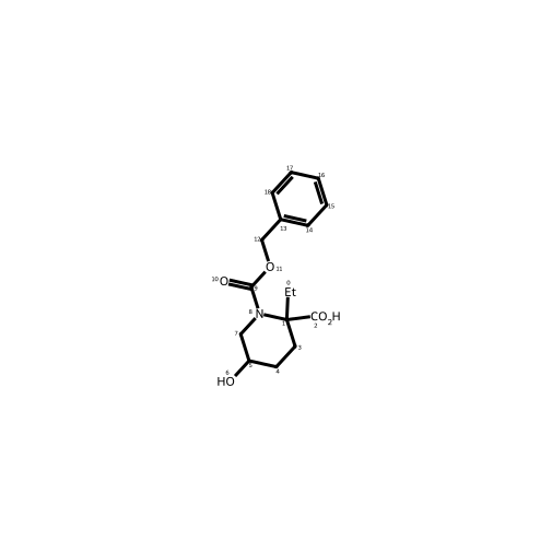 CCC1(C(=O)O)CCC(O)CN1C(=O)OCc1ccccc1